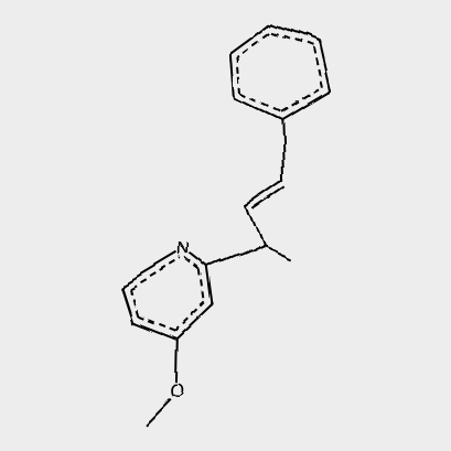 COc1ccnc(C(C)/C=C/c2ccccc2)c1